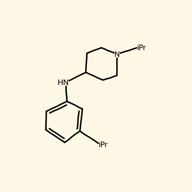 CC(C)c1cccc(NC2CCN(C(C)C)CC2)c1